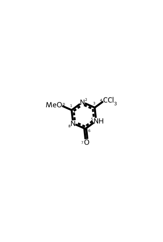 COc1nc(C(Cl)(Cl)Cl)[nH]c(=O)n1